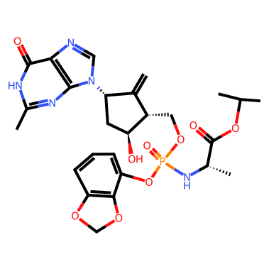 C=C1[C@H](COP(=O)(N[C@@H](C)C(=O)OC(C)C)Oc2cccc3c2OCO3)[C@@H](O)C[C@@H]1n1cnc2c(=O)[nH]c(C)nc21